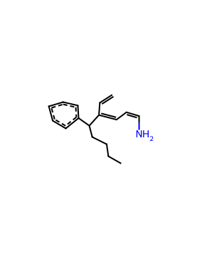 C=C/C(=C\C=C/N)C(CCCC)c1ccccc1